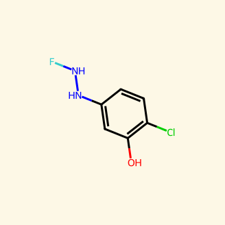 Oc1cc(NNF)ccc1Cl